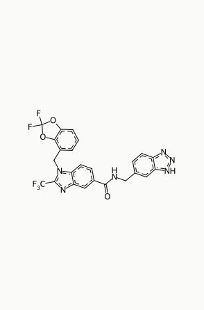 O=C(NCc1ccc2nn[nH]c2c1)c1ccc2c(c1)nc(C(F)(F)F)n2Cc1cccc2c1OC(F)(F)O2